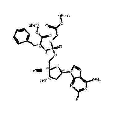 C#C[C@]1(COP(=O)(N[C@@H](Cc2ccccc2)C(=O)OCCCCC)OCC(=O)OCCCCC)O[C@@H](n2cnc3c(N)nc(F)nc32)C[C@@H]1O